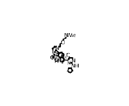 CNCCOCCn1ccnc1-c1ccc2c(-c3nc(NC4=CCCC4)ncc3C(F)(F)F)c[nH]c2c1P(C)(C)=O